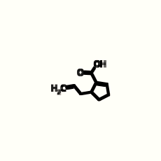 C=CCC1CCC=C1C(=O)O